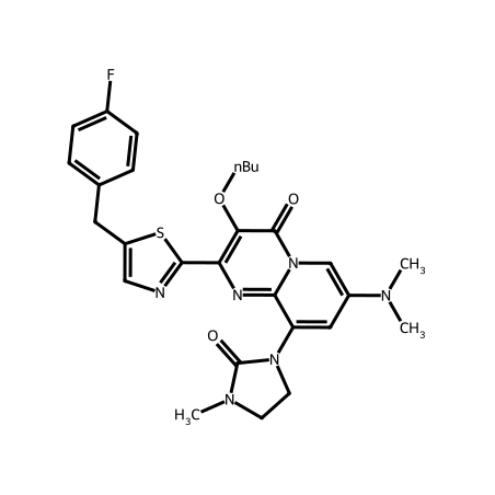 CCCCOc1c(-c2ncc(Cc3ccc(F)cc3)s2)nc2c(N3CCN(C)C3=O)cc(N(C)C)cn2c1=O